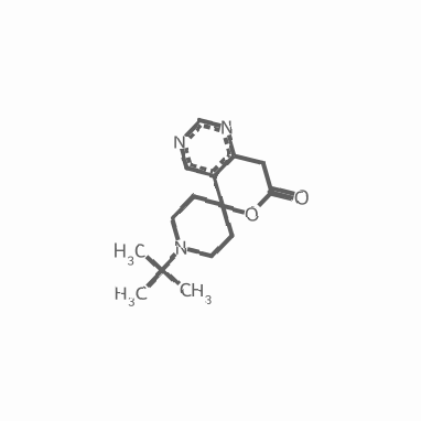 CC(C)(C)N1CCC2(CC1)OC(=O)Cc1ncncc12